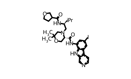 CC(C)[C@@H](CN1CC(C)(C)OC[C@H]1C(=O)Nc1cc(I)cc2c1[nH]c1cnccc12)NC(=O)C1CCOC1